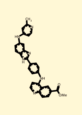 COC(=O)c1ccc2nccc(Nc3ccc(-c4nc5cc(Nc6ccnc(C)c6)ccc5[nH]4)cc3)c2c1